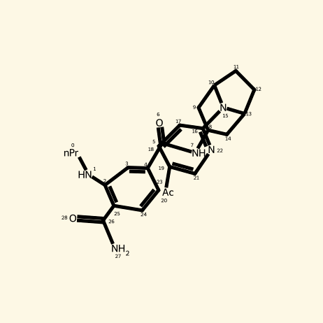 CCCNc1cc(C(=O)NC2CC3CCC(C2)N3c2ccc(C(C)=O)cn2)ccc1C(N)=O